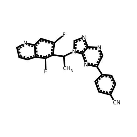 CC(c1c(F)cc2ncccc2c1F)n1cnc2ncc(-c3ccc(C#N)cc3)nc21